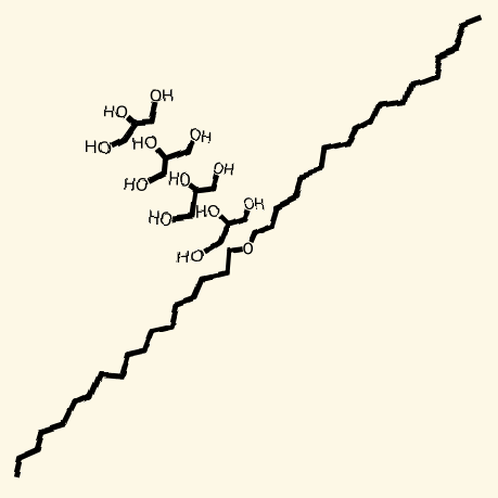 CCCCCCCCCCCCCCCCCCOCCCCCCCCCCCCCCCCCC.OCC(O)CO.OCC(O)CO.OCC(O)CO.OCC(O)CO